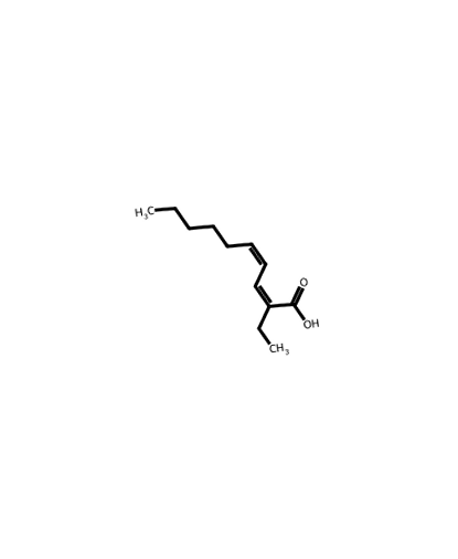 CCCCC/C=C\C=C(\CC)C(=O)O